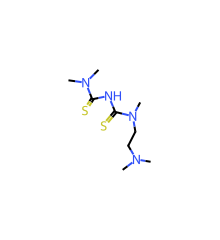 CN(C)CCN(C)C(=S)NC(=S)N(C)C